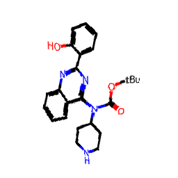 CC(C)(C)OC(=O)N(c1nc(-c2ccccc2O)nc2ccccc12)C1CCNCC1